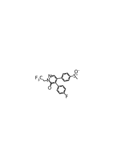 C[S+]([O-])c1ccc(-c2cnn(CC(F)(F)F)c(=O)c2-c2ccc(F)cc2)cc1